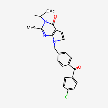 CSc1nc2c(ccn2Cc2ccc(C(=O)c3ccc(Cl)cc3)cc2)c(=O)n1C(C)OC(C)=O